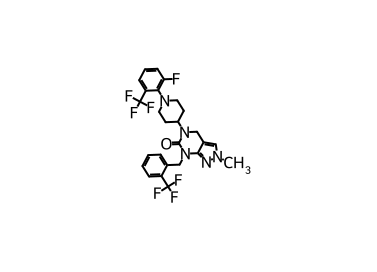 Cn1cc2c(n1)N(Cc1ccccc1C(F)(F)F)C(=O)N(C1CCN(c3c(F)cccc3C(F)(F)F)CC1)C2